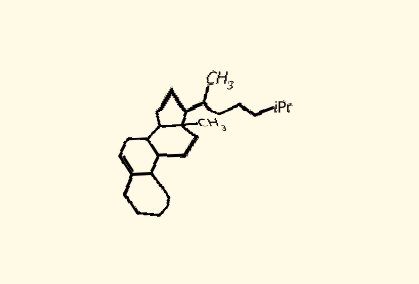 CC(C)CCCC(C)C1CCC2C3CC=C4CCCCC4C3CCC12C